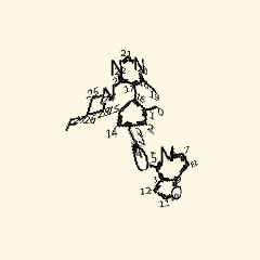 Cc1cc(Oc2nccc3occc23)ccc1-c1c(C)ncnc1N1CC(F)C1